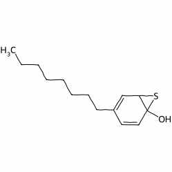 CCCCCCCCC1=CC2SC2(O)C=C1